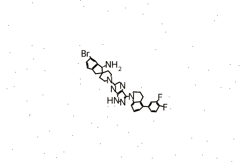 N[C@@H]1c2cc(Br)ccc2CC12CCN(c1cnc3c(N4CCCc5c(-c6ccc(F)c(F)c6)cccc54)n[nH]c3n1)CC2